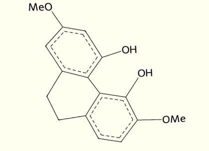 COc1cc(O)c2c(c1)CCc1ccc(OC)c(O)c1-2